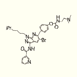 CC(C)CCCCn1nc(NC(=O)c2cccnc2)c2cc(Br)c(-c3ccc(OC(=O)NCCN(C)C)cc3)nc21